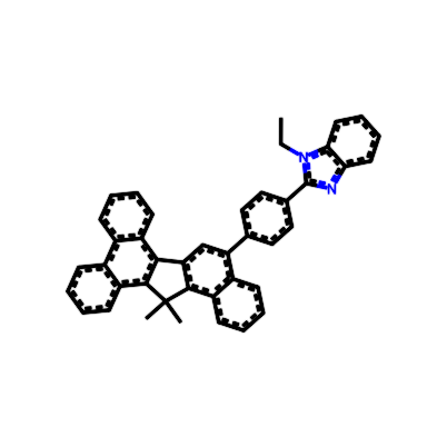 CCn1c(-c2ccc(-c3cc4c(c5ccccc35)C(C)(C)c3c-4c4ccccc4c4ccccc34)cc2)nc2ccccc21